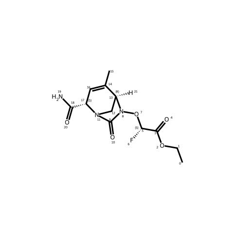 CCOC(=O)[C@H](F)ON1C(=O)N2C[C@H]1C(C)=C[C@H]2C(N)=O